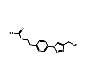 CC(=O)OCCc1ccc(-n2cc(CO)nn2)cc1